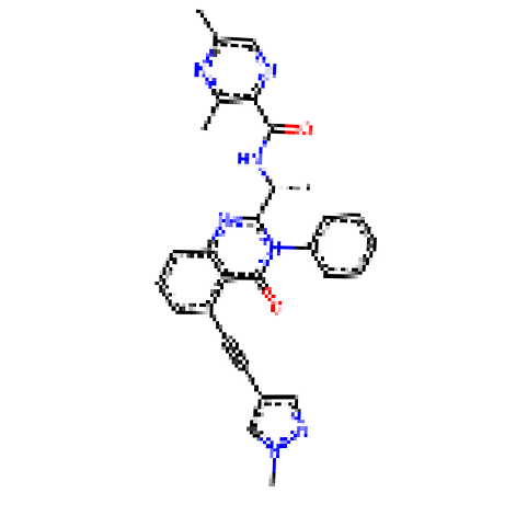 Cc1cnc(C(=O)N[C@H](C)c2nc3cccc(C#Cc4cnn(C)c4)c3c(=O)n2-c2ccccc2)c(C)n1